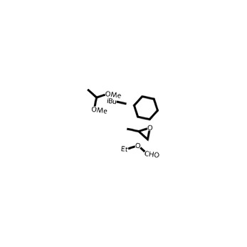 C1CCCCC1.CC1CO1.CCC(C)C.CCOC=O.COC(C)OC